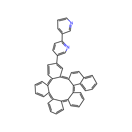 c1cncc(-c2ccc(-c3ccc4c5ccccc5c5ccccc5c5ccccc5c5c6ccccc6ccc5c4c3)cn2)c1